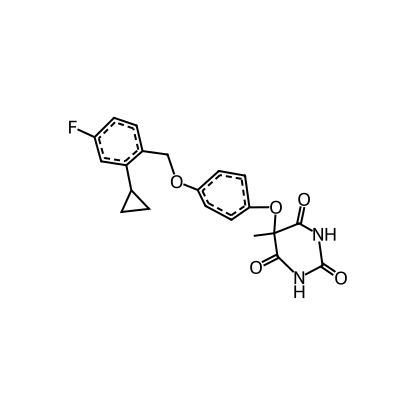 CC1(Oc2ccc(OCc3ccc(F)cc3C3CC3)cc2)C(=O)NC(=O)NC1=O